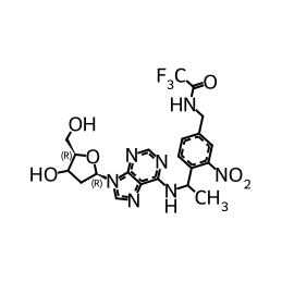 CC(Nc1ncnc2c1ncn2[C@H]1CC(O)[C@@H](CO)O1)c1ccc(CNC(=O)C(F)(F)F)cc1[N+](=O)[O-]